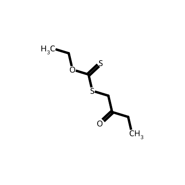 CCOC(=S)SCC(=O)CC